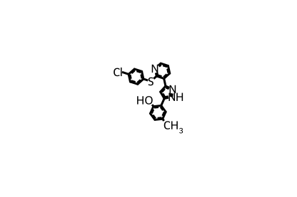 Cc1ccc(O)c(-c2cc(-c3cccnc3Sc3ccc(Cl)cc3)n[nH]2)c1